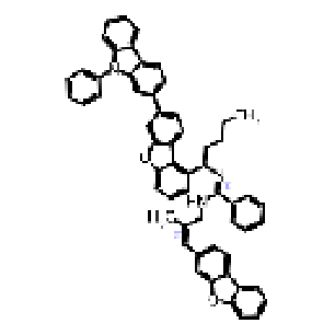 CCCCC(/N=C(\NC/C(C)=C\c1ccc2c(c1)oc1ccccc12)c1ccccc1)c1cccc2oc3cc(-c4ccc5c6ccccc6n(-c6ccccc6)c5c4)ccc3c12